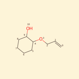 C=CCOC1CCCCC1O